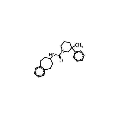 CC1(c2ccccc2)CCCN(C(=O)NC2CCc3ccccc3CC2)C1